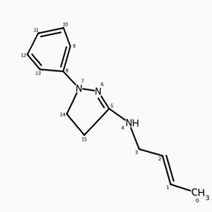 CC=CCNC1=NN(c2ccccc2)CC1